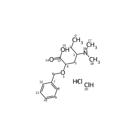 CCC(CC(OCc1ccccc1)C(=O)O)N(C)C.Cl.Cl